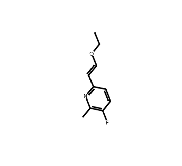 CCOC=Cc1ccc(F)c(C)n1